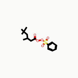 CC(CC(=O)OOS(=O)(=O)c1ccccc1)CC(C)(C)C